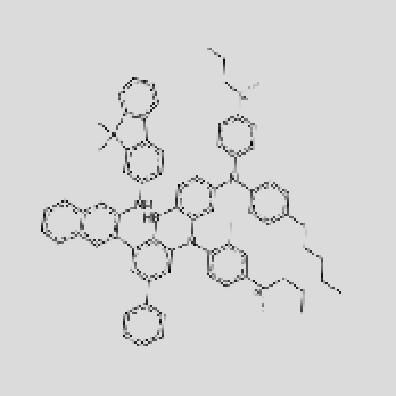 CCCCCc1ccc(N(c2ccc([C@@H](C)CCC)cc2)c2ccc3c(c2)N(c2ccc([C@@H](C)CCC)cc2C)c2cc(-c4ccccc4)cc(-c4cc5ccccc5cc4Nc4ccc5c(c4)C(C)(C)c4ccccc4-5)c2B3)cc1